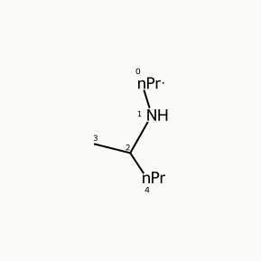 CC[CH]NC(C)CCC